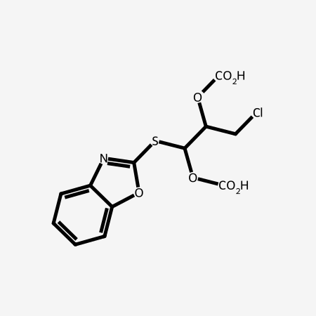 O=C(O)OC(CCl)C(OC(=O)O)Sc1nc2ccccc2o1